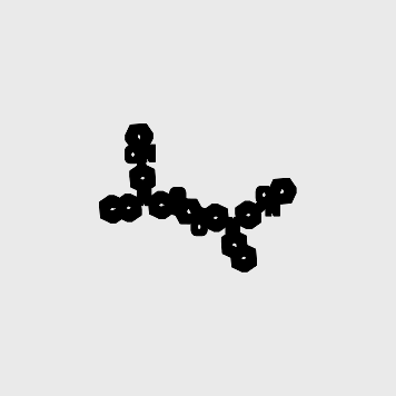 c1ccc2cc(N(c3ccc(-c4nc5ccccc5o4)cc3)c3ccc4c(c3)oc3cc5c(cc34)oc3cc(N(c4ccc(-c6nc7ccccc7o6)cc4)c4ccc6ccccc6c4)ccc35)ccc2c1